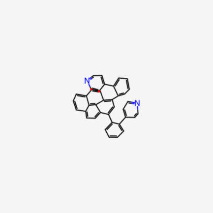 c1ccc(-c2cc(-c3ccccc3-c3ccncc3)c3ccc4cccc5ccc2c3c54)c(-c2ccncc2)c1